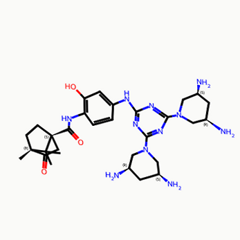 CC1(C)[C@]2(C(=O)Nc3ccc(Nc4nc(N5C[C@H](N)C[C@H](N)C5)nc(N5C[C@H](N)C[C@H](N)C5)n4)cc3O)CC[C@@]1(C)C(=O)C2